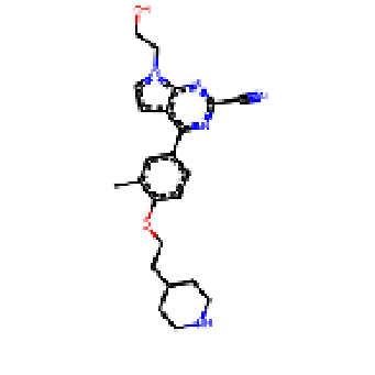 Cc1cc(-c2nc(C#N)nc3c2ccn3CCO)ccc1OCCC1CCNCC1